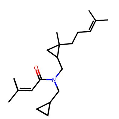 CC(C)=CCCC1(C)CC1CN(CC1CC1)C(=O)C=C(C)C